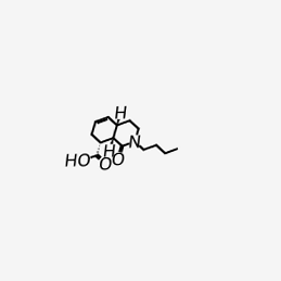 CCCCN1CC[C@H]2C=CC[C@@H](C(=O)O)[C@H]2C1=O